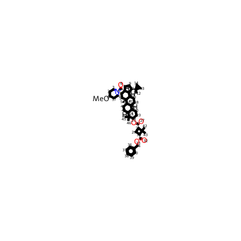 COC1CCN(C(=O)[C@]23CC[C@@H](C4(C)CC4)[C@@H]2[C@H]2CC[C@@H]4[C@@]5(C)CC[C@H](OC(=O)[C@H]6C[C@@H](C(=O)OCc7ccccc7)C6(C)C)C(C)(C)[C@@H]5CC[C@@]4(C)[C@]2(C)CC3)CC1